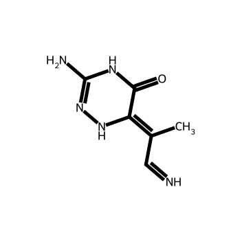 C/C(C=N)=C1/NN=C(N)NC1=O